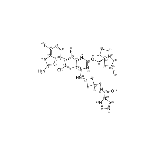 Nc1nc2c(-c3c(Cl)cc4c(NC5CC6(C5)CN(C(=O)n5cncn5)C6)nc(OC[C@@]56CCCN5C[C@H](F)C6)nc4c3F)ccc(F)c2s1